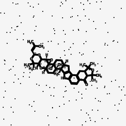 CC(C)=C[C@H]1OC2[C@H]3O[C@@]34[C@H](CC[C@@]3(C)[C@@]4(O)CC[C@H]4Cc5c([nH]c6ccc7c(c56)CC5C(C7=O)C(C)(C)OC5(C)C)[C@@]43C)O[C@@H]2C(C)(C)O1